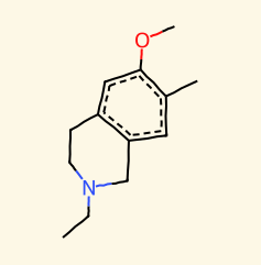 CCN1CCc2cc(OC)c(C)cc2C1